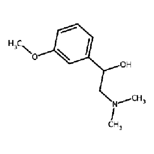 COc1cccc(C(O)CN(C)C)c1